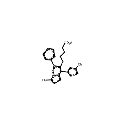 CCc1ccc2c(-c3cncc(C#N)c3)c(CCCCC(=O)O)c(-c3ccccc3)nn12